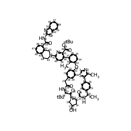 Cc1ncsc1-c1ccc([C@H](C)NC(=O)[C@@H]2C[C@@H](O)CN2C(=O)[C@@H](NC(=O)Cc2ccc(Oc3cccc(-c4ccc(N5CCc6cccc(C(=O)Nc7nc8ccccc8s7)c6C5)nc4C(=O)OC(C)(C)C)c3C)cc2)C(C)(C)C)cc1